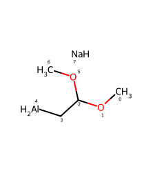 COC([CH2][AlH2])OC.[NaH]